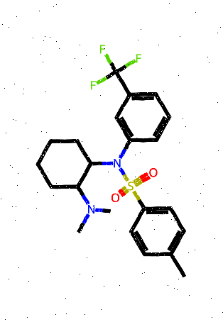 Cc1ccc(S(=O)(=O)N(c2cccc(C(F)(F)F)c2)C2CCCCC2N(C)C)cc1